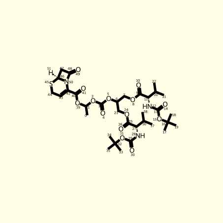 CC(OC(=O)OC(COC(=O)[C@@H](NC(=O)OC(C)(C)C)C(C)C)COC(=O)[C@@H](NC(=O)OC(C)(C)C)C(C)C)OC(=O)C1=CCS[C@H]2CC(=O)N12